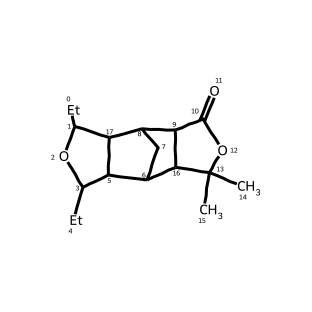 CCC1OC(CC)C2C3CC(C4C(=O)OC(C)(C)C34)C12